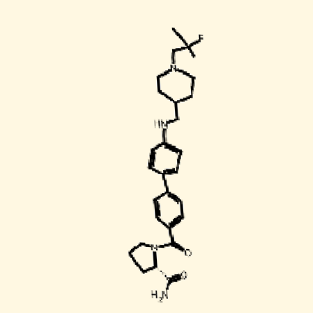 CC(C)(F)CN1CCC(CNc2ccc(-c3ccc(C(=O)N4CCC[C@H]4C(N)=O)cc3)cc2)CC1